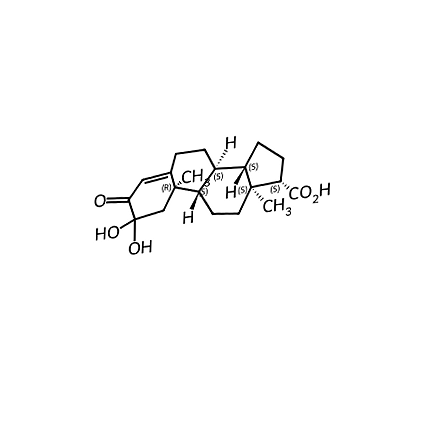 C[C@]12CC[C@H]3[C@@H](CCC4=CC(=O)C(O)(O)C[C@@]43C)[C@@H]1CC[C@@H]2C(=O)O